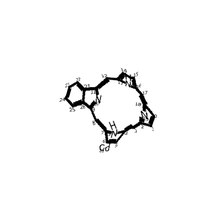 C1=Cc2cc3ccc(cc4nc(cc5ccc(cc1n2)[nH]5)-c1ccccc1-4)[nH]3.[Gd]